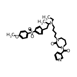 CCN(CCCCN1CCCN(C(=O)c2cccnc2)CC1=O)C(C)Cc1ccc(S(=O)(=O)c2ccc(OC)cc2)cc1